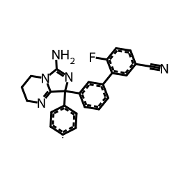 N#Cc1ccc(F)c(-c2cccc(C3(c4cc[c]cc4)N=C(N)N4CCCN=C43)c2)c1